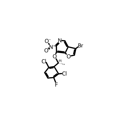 C[C@@H](Oc1c([N+](=O)[O-])ncc2c(Br)coc12)c1c(Cl)ccc(F)c1Cl